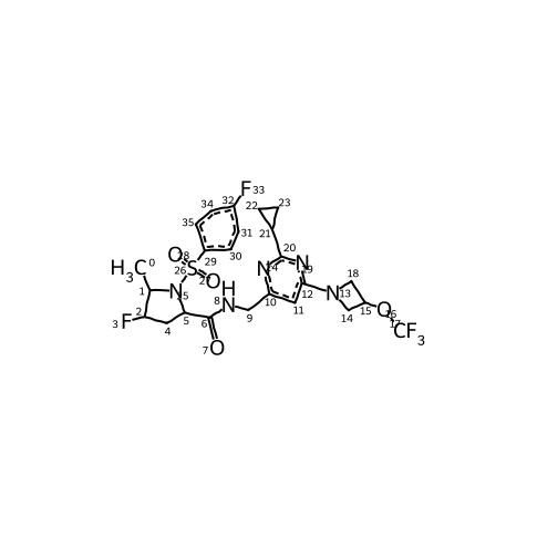 CC1C(F)CC(C(=O)NCc2cc(N3CC(OC(F)(F)F)C3)nc(C3CC3)n2)N1S(=O)(=O)c1ccc(F)cc1